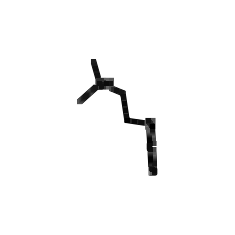 C[SiH](C)CCN=C=S